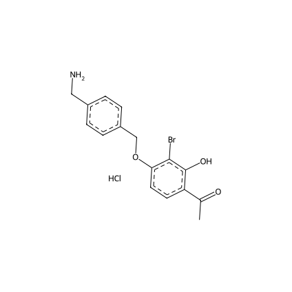 CC(=O)c1ccc(OCc2ccc(CN)cc2)c(Br)c1O.Cl